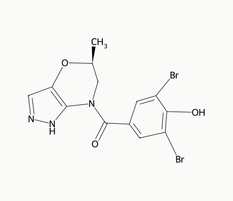 C[C@H]1CN(C(=O)c2cc(Br)c(O)c(Br)c2)c2[nH]ncc2O1